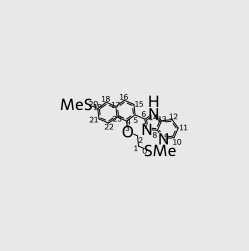 CSCCOc1c(-c2nc3ncccc3[nH]2)ccc2cc(SC)ccc12